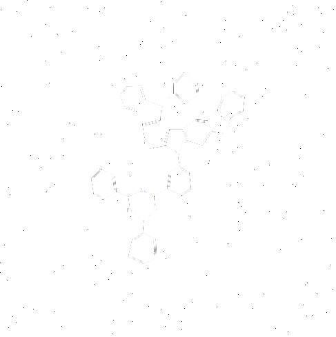 c1ccc(C2NC(c3ccccc3)NC(c3cccc(-n4c5cc6oc7ccccc7c6cc5c5c4ccc4c6ccccc6n(-c6ccccc6)c45)c3)N2)cc1